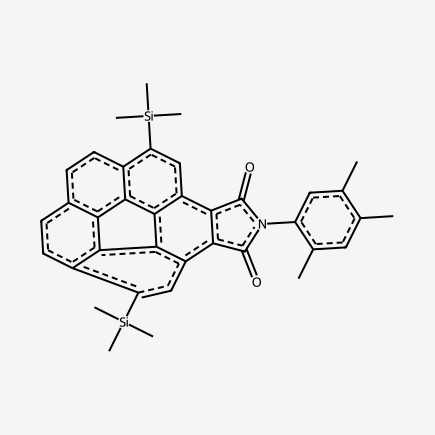 Cc1cc(C)c(-n2c(=O)c3c4cc([Si](C)(C)C)c5ccc6ccc7c([Si](C)(C)C)cc(c3c2=O)c2c7c6c5c42)cc1C